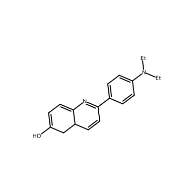 CCN(CC)c1ccc(C2=NC3=CC=C(O)CC3C=C2)cc1